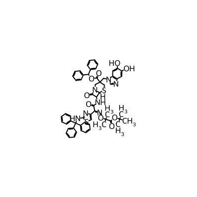 CC(C)(C)OC(=O)C(C)(C)ON=C(C(=O)NC1C(=O)N2CC(Cn3cnc4cc(O)c(O)cc43)(C(=O)OC(c3ccccc3)c3ccccc3)CS[C@H]12)c1csc(NC(c2ccccc2)(c2ccccc2)c2ccccc2)n1